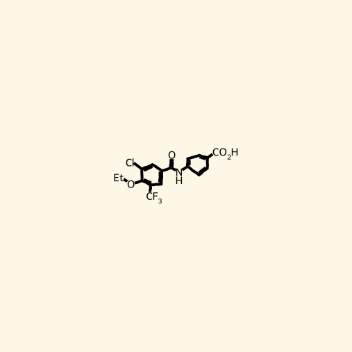 CCOc1c(Cl)cc(C(=O)Nc2ccc(C(=O)O)cc2)cc1C(F)(F)F